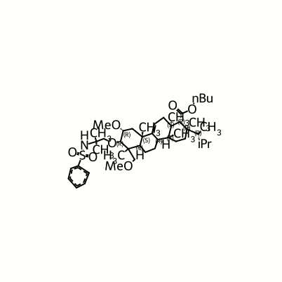 CCCCOC(=O)[C@@H]1[C@@](C)([C@H](C)C(C)C)CC[C@]2(C)[C@H]3CC[C@H]4C(C)(COC)[C@@H](OCC(C)(C)NS(=O)(=O)c5ccccc5)[C@H](OC)C[C@]4(C)C3=CC[C@@]12C